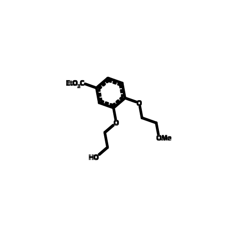 CCOC(=O)c1ccc(OCCOC)c(OCCO)c1